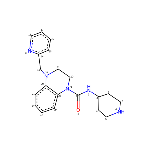 O=C(NC1CCNCC1)N1CCN(Cc2ccccn2)c2ccccc21